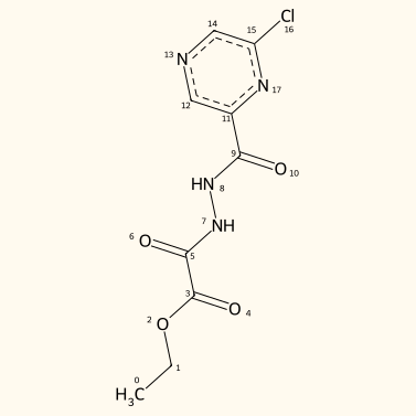 CCOC(=O)C(=O)NNC(=O)c1cncc(Cl)n1